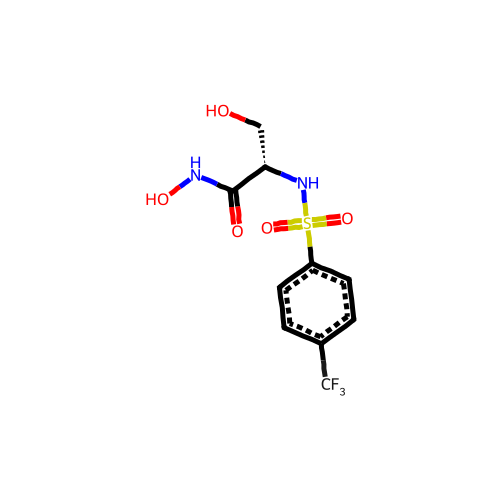 O=C(NO)[C@H](CO)NS(=O)(=O)c1ccc(C(F)(F)F)cc1